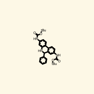 CC(C)(C)OC(=O)Nc1ccc2c(c1)NC(c1ccccc1)c1cc(NC(=O)OC(C)(C)C)ccc1-2